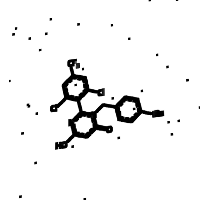 CC(C)(C)c1ccc(Cn2c(-c3c(Cl)cc(C(F)(F)F)cc3Cl)nc(O)cc2=O)cc1